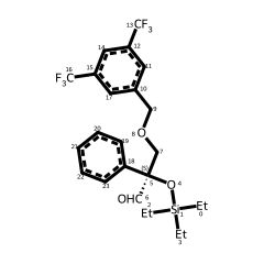 CC[Si](CC)(CC)O[C@](C=O)(COCc1cc(C(F)(F)F)cc(C(F)(F)F)c1)c1ccccc1